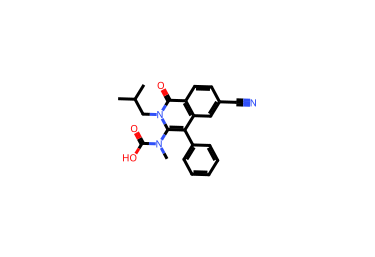 CC(C)Cn1c(N(C)C(=O)O)c(-c2ccccc2)c2cc(C#N)ccc2c1=O